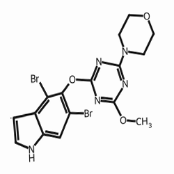 COc1nc(Oc2c(Br)cc3[nH]c[c]c3c2Br)nc(N2CCOCC2)n1